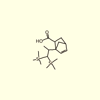 CC(C([Si](C)(C)C)[Si](C)(C)C)C12C=CC(CC1C(=O)O)C2